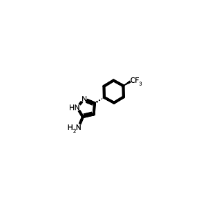 Nc1cc([C@H]2CC[C@H](C(F)(F)F)CC2)n[nH]1